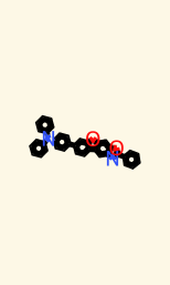 c1ccc(-c2nc3cc4c(cc3o2)oc2cc(-c3ccc(N(c5ccccc5)c5ccccc5)cc3)ccc24)cc1